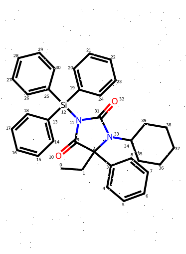 CCC1(c2ccccc2)C(=O)N([Si](c2ccccc2)(c2ccccc2)c2ccccc2)C(=O)N1C1CCCCC1